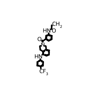 C=CC(=O)Nc1cccc(C(=O)N2CCc3c(cccc3Nc3ccc(C(F)(F)F)cc3)C2)c1